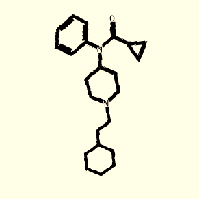 O=C(C1CC1)N(c1ccccc1)C1CCN(CCC2CCCCC2)CC1